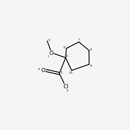 COC1(C(=O)Cl)CCCCC1